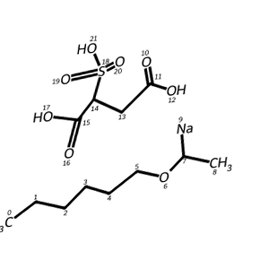 CCCCCCO[CH](C)[Na].O=C(O)CC(C(=O)O)S(=O)(=O)O